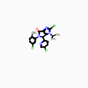 Cc1ccc(Cl)cc1N1C(=O)c2nc(Br)n(C(C)C)c2C1c1ccc(Cl)cn1